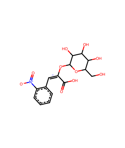 O=C(O)/C(=C\c1ccccc1[N+](=O)[O-])OC1OC(CO)C(O)C(O)C1O